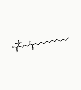 CCCCCCCCCCCCCC(=O)NCCCC(C(=O)[O-])[N+](C)(C)C